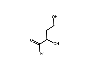 CC(C)C(=O)C(O)CCO